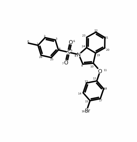 Cc1ccc(S(=O)(=O)n2cc(Oc3ccc(Br)cc3)c3ccccc32)cc1